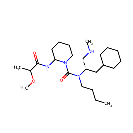 CCCCN(C(=O)N1CCCCC1NC(=O)C(C)OC)[C@H](CNC)CC1CCCCC1